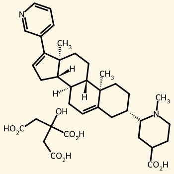 CN1CCC(C(=O)O)CC1[C@H]1CC[C@@]2(C)C(=CC[C@@H]3[C@@H]2CC[C@]2(C)C(c4cccnc4)=CC[C@@H]32)C1.O=C(O)CC(O)(CC(=O)O)C(=O)O